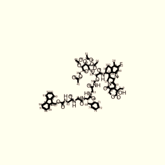 CC[C@@]1(O)C(=O)OCc2c1cc1n(c2=O)Cc2c-1nc1cc(F)c(C)c3c1c2[C@@H](NC(=O)[C@@H](CO[C@@H]1O[C@H](COC(C)=O)[C@H](OC(C)=O)[C@H](OC(C)=O)[C@H]1OC(C)=O)OCNC(=O)CNC(=O)[C@H](Cc1ccccc1)NC(=O)CNC(=O)CNC(=O)OCC1c2ccccc2-c2ccccc21)CC3